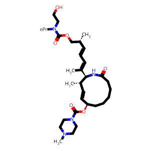 CCCN(CCO)C(=O)OC[C@H](C)/C=C/C=C(\C)[C@H]1NC(=O)CCCCC[C@@H](OC(=O)N2CCN(C)CC2)/C=C/[C@@H]1C